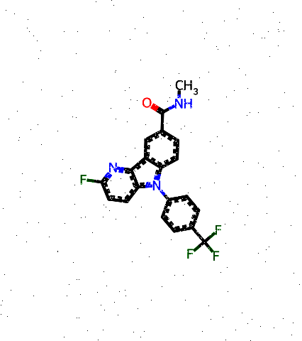 CNC(=O)c1ccc2c(c1)c1nc(F)ccc1n2-c1ccc(C(F)(F)F)cc1